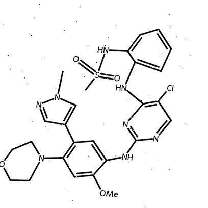 COc1cc(N2CCOCC2)c(-c2cnn(C)c2)cc1Nc1ncc(Cl)c(Nc2ccccc2NS(C)(=O)=O)n1